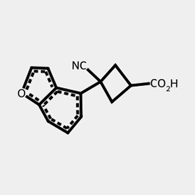 N#CC1(c2cccc3occc23)CC(C(=O)O)C1